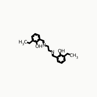 CCc1cccc(C=NCCN=Cc2cccc(CC)c2O)c1O